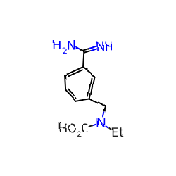 CCN(Cc1cccc(C(=N)N)c1)C(=O)O